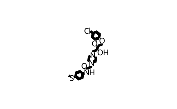 CSc1ccc(NC(=O)CN2CCN(CC(O)C3COc4ccc(Cl)cc4O3)CC2)cc1